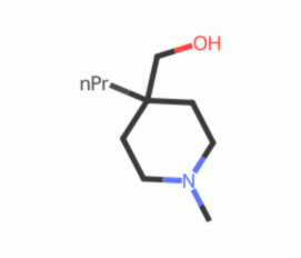 CCCC1(CO)CCN(C)CC1